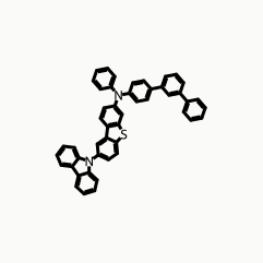 c1ccc(-c2cccc(-c3ccc(N(c4ccccc4)c4ccc5c(c4)sc4ccc(-n6c7ccccc7c7ccccc76)cc45)cc3)c2)cc1